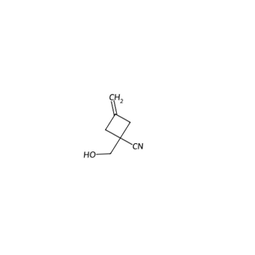 C=C1CC(C#N)(CO)C1